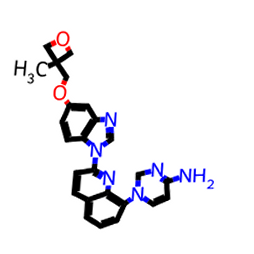 CC1(COc2ccc3c(c2)ncn3-c2ccc3cccc(N4C=CC(N)=NC4)c3n2)COC1